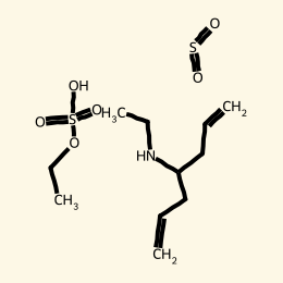 C=CCC(CC=C)NCC.CCOS(=O)(=O)O.O=S=O